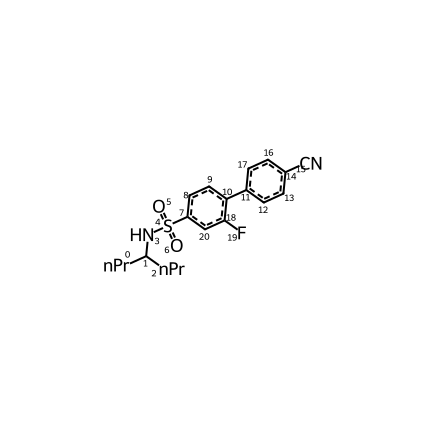 CCCC(CCC)NS(=O)(=O)c1ccc(-c2ccc(C#N)cc2)c(F)c1